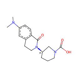 CN(C)c1ccc2c(c1)CCN([C@@H]1CCCN(C(=O)O)C1)C2=O